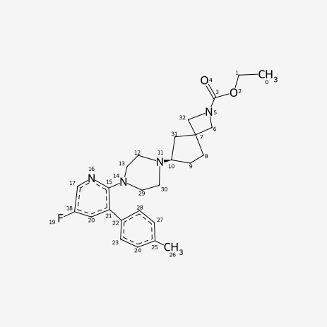 CCOC(=O)N1CC2(CC[C@@H](N3CCN(c4ncc(F)cc4-c4ccc(C)cc4)CC3)C2)C1